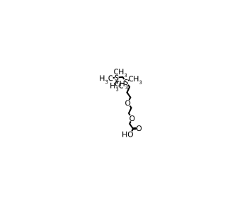 CS(C)(C)CS(C)(C)CCCOCCOCC(=O)O